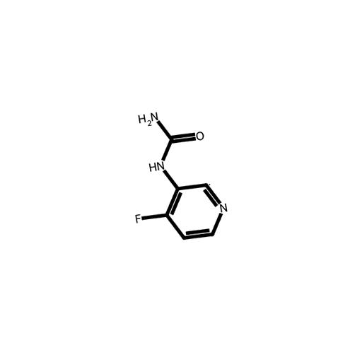 NC(=O)Nc1[c]nccc1F